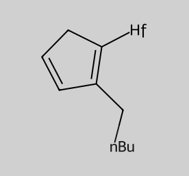 CCCCCC1=[C]([Hf])CC=C1